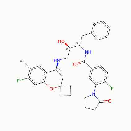 CCc1cc2c(cc1F)OC1(CCC1)C[C@@H]2NC[C@@H](O)[C@H](Cc1ccccc1)NC(=O)c1ccc(F)c(N2CCCC2=O)c1